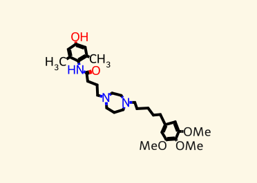 COc1cc(CCCCCN2CCCN(CCCC(=O)Nc3c(C)cc(O)cc3C)CC2)cc(OC)c1OC